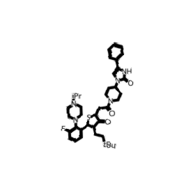 CC(C)N1CCN(c2c(F)cccc2C2SC(CC(=O)N3CCC(n4cc(-c5ccccc5)[nH]c4=O)CC3)C(=O)C2CCC(C)(C)C)CC1